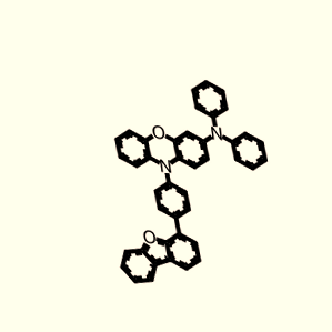 c1ccc(N(c2ccccc2)c2ccc3c(c2)Oc2ccccc2N3c2ccc(-c3cccc4c3oc3ccccc34)cc2)cc1